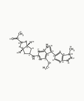 COc1nc(NC2C[C@@H]3CN(C(C)=O)C[C@@H]3C2)nc2[nH]cc(-c3ccc4nnn(C)c4c3)c12